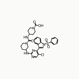 O=C(O)N1CCC(NC(=O)N2CCCC(Nc3ncc(Cl)c(-c4cn(S(=O)(=O)c5ccccc5)c5ccccc45)n3)C2)CC1